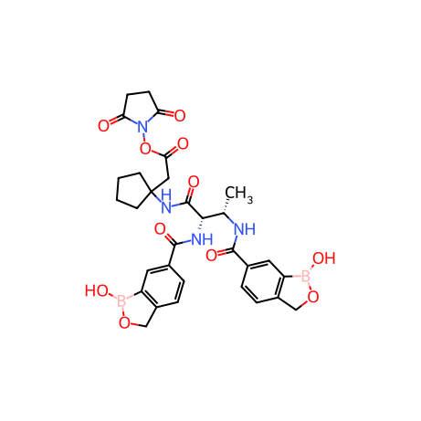 C[C@H](NC(=O)c1ccc2c(c1)B(O)OC2)[C@H](NC(=O)c1ccc2c(c1)B(O)OC2)C(=O)NC1(CC(=O)ON2C(=O)CCC2=O)CCCC1